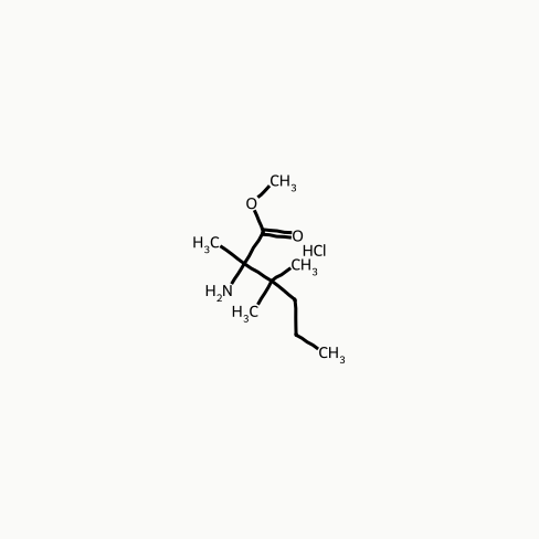 CCCC(C)(C)C(C)(N)C(=O)OC.Cl